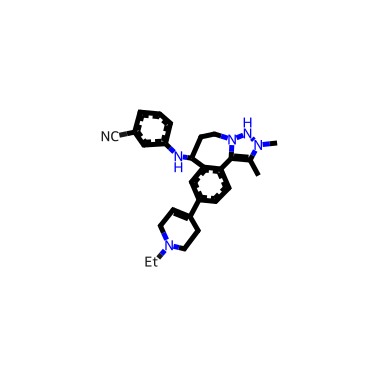 CCN1CC=C(c2ccc3c(c2)C(Nc2cccc(C#N)c2)CCN2NN(C)C(C)=C32)CC1